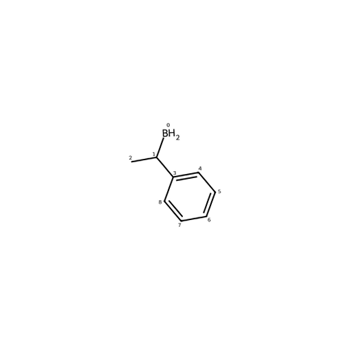 BC(C)c1ccccc1